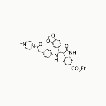 CCOC(=O)c1ccc2c(c1)NC(=O)C2=C(Nc1ccc(CC(=O)N2CCN(C)CC2)cc1)c1ccc2c(c1)OCO2